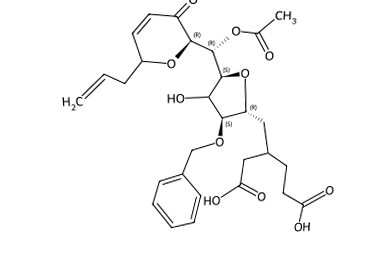 C=CCC1C=CC(=O)[C@@H]([C@H](OC(C)=O)[C@H]2O[C@H](CC(CCC(=O)O)CC(=O)O)[C@@H](OCc3ccccc3)C2O)O1